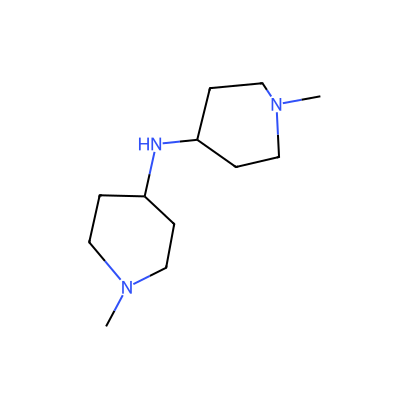 CN1CCC(NC2CCN(C)CC2)CC1